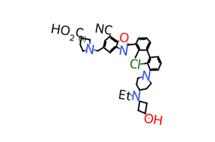 CCN(C1CCN(c2cccc(-c3cccc(-c4nc5cc(CN6CC[C@@H](C(=O)O)C6)cc(C#N)c5o4)c3C)c2Cl)CC1)[C@H]1C[C@@H](O)C1